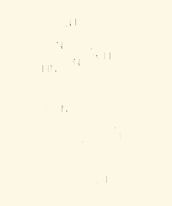 CCOc1cc(CN2CCC(Nc3nc(C)cc(C)n3)CC2)ccc1F